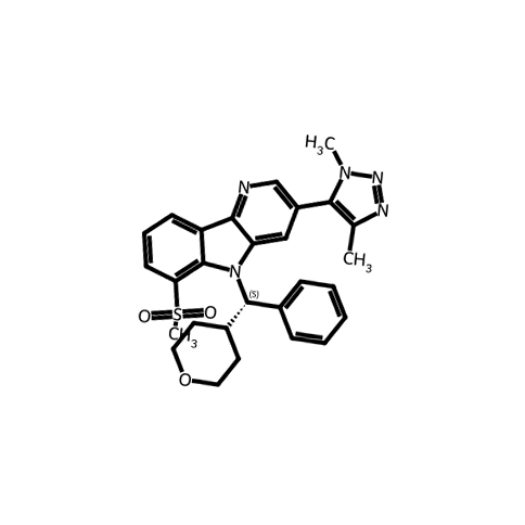 Cc1nnn(C)c1-c1cnc2c3cccc(S(C)(=O)=O)c3n([C@H](c3ccccc3)C3CCOCC3)c2c1